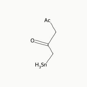 CC(=O)CC(=O)[CH2][SnH3]